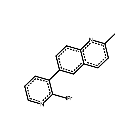 Cc1ccc2cc(-c3cccnc3C(C)C)ccc2n1